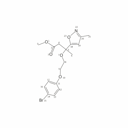 COC(=O)CC(C)(OCCOc1ccc(Br)cc1)c1cc(C)no1